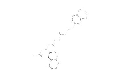 O=C(O)CC(NC(=O)CNC(=O)CCCc1ccc2c(n1)NCCC2)c1cnc2ccccc2c1